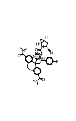 CN(C)C(=O)c1ccc2c(c1)CCc1cc(C(=O)N(C)C)ccc1C2(C[C@@H](NCC(=O)N1[C@H](C#N)C[C@@H]2C[C@@H]21)c1ccc(F)cc1)c1nnn[nH]1